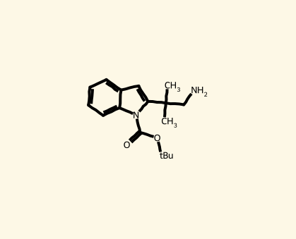 CC(C)(C)OC(=O)n1c(C(C)(C)CN)cc2ccccc21